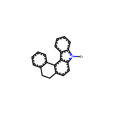 CCn1c2ccccc2c2c3c(ccc21)CCc1ccccc1-3